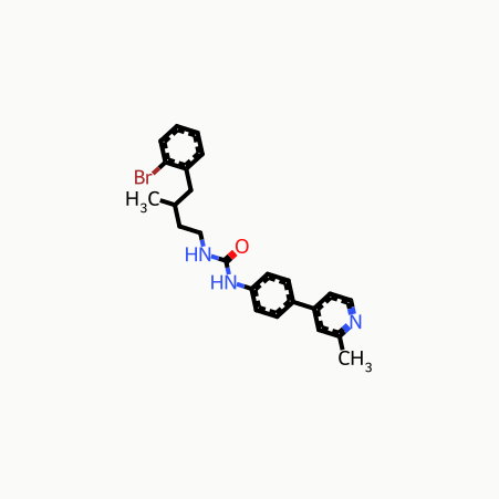 Cc1cc(-c2ccc(NC(=O)NCCC(C)Cc3ccccc3Br)cc2)ccn1